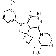 C[C@@H]1CN(c2ncnc3c2C2(CCC2)CN3c2cc(C#N)ccn2)CCN1.Cl